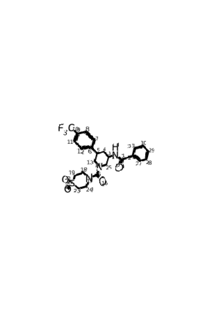 O=C(NC1CC(c2ccc(C(F)(F)F)cc2)CN(C(=O)N2CCS(=O)(=O)CC2)C1)c1ccccc1